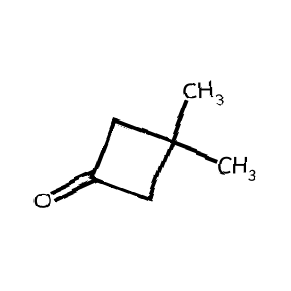 CC1(C)CC(=O)C1